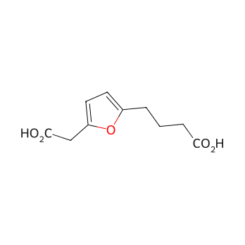 O=C(O)CCCc1ccc(CC(=O)O)o1